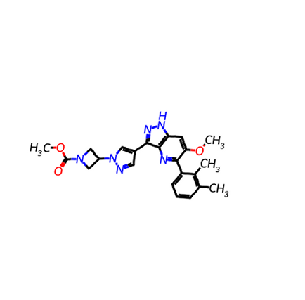 COC(=O)N1CC(n2cc(-c3n[nH]c4cc(OC)c(-c5cccc(C)c5C)nc34)cn2)C1